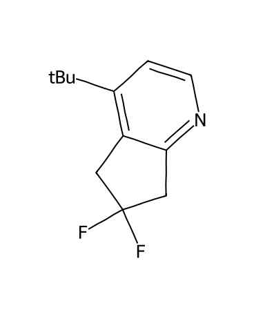 CC(C)(C)c1ccnc2c1CC(F)(F)C2